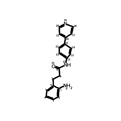 Nc1ccccc1CCC(=O)Nc1ccc(-c2ccncc2)cc1